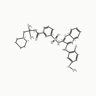 COc1ccc(Cl)c(Nc2nc3ccccc3nc2NS(=O)(=O)c2cccc(C(=O)NC(C)(C)CN3CCCCC3)c2)c1